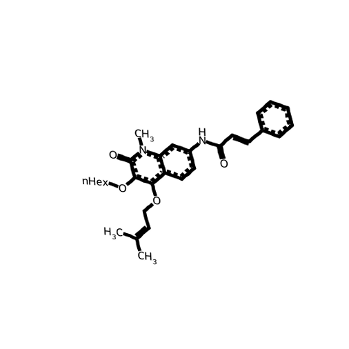 CCCCCCOc1c(OCC=C(C)C)c2ccc(NC(=O)C=Cc3ccccc3)cc2n(C)c1=O